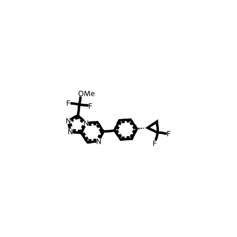 COC(F)(F)c1nnc2cnc(-c3ccc([C@@H]4CC4(F)F)cc3)cn12